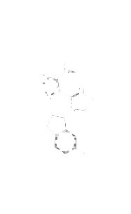 O=[N+]([O-])c1nonc1C1=NOCN1C1CCc2ccc(F)cc21